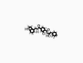 O=C(O)C(=Cc1ccccc1)NC(=O)c1ccc(C(=O)NCc2cccc3[nH]ccc23)cc1Cl